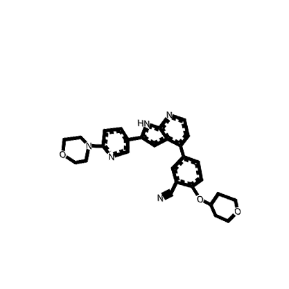 N#Cc1cc(-c2ccnc3[nH]c(-c4ccc(N5CCOCC5)nc4)cc23)ccc1OC1CCOCC1